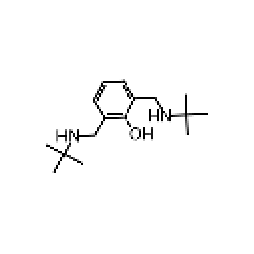 CC(C)(C)NCc1cccc(CNC(C)(C)C)c1O